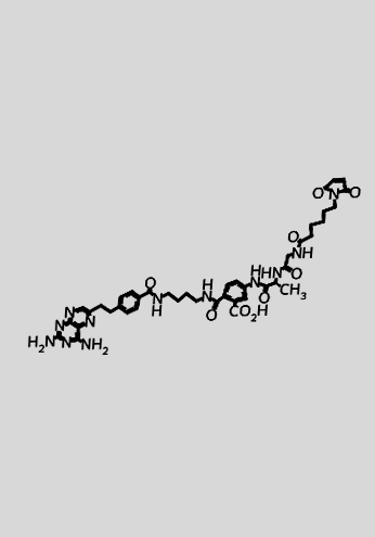 C[C@H](NC(=O)CNC(=O)CCCCCN1C(=O)C=CC1=O)C(=O)Nc1ccc(C(=O)NCCCCNC(=O)c2ccc(CCc3cnc4nc(N)nc(N)c4n3)cc2)c(C(=O)O)c1